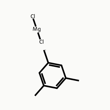 [CH2]c1cc(C)cc(C)c1.[Cl][Mg][Cl]